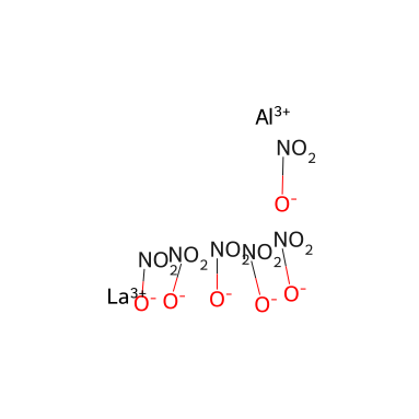 O=[N+]([O-])[O-].O=[N+]([O-])[O-].O=[N+]([O-])[O-].O=[N+]([O-])[O-].O=[N+]([O-])[O-].O=[N+]([O-])[O-].[Al+3].[La+3]